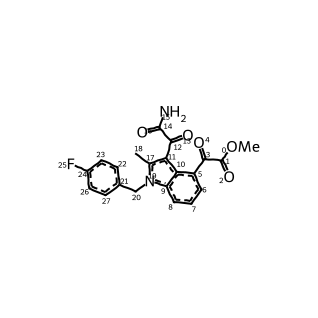 COC(=O)C(=O)c1cccc2c1c(C(=O)C(N)=O)c(C)n2Cc1ccc(F)cc1